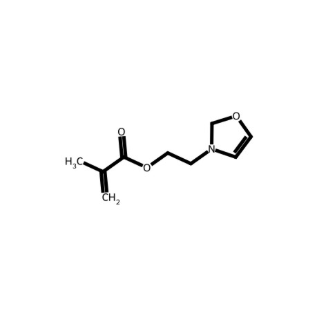 C=C(C)C(=O)OCCN1C=COC1